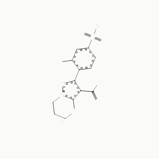 C[C@@H]1CCn2nc(-c3ccc(S(N)(=O)=O)cc3F)c(C(=O)O)c2O1